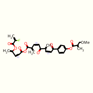 C=C(/C=C\C(=O)OC(=O)C(=C)/C=C\C(=O)C(=C)/C=C\C(=O)c1ccc(OC(=O)C(=C)COC)cc1)OC(=O)C(=C)F